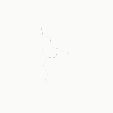 CCCCC(CC)C[PH](O)(O)OCCC